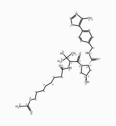 Cc1ncsc1-c1ccc(CNC(=O)[C@@H]2C[C@@H](O)CN2C(=O)C(NC(=O)CCCCCCCOC(N)=O)C(C)(C)S)cc1